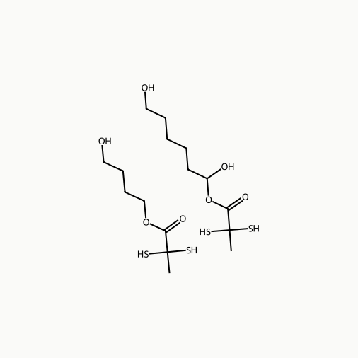 CC(S)(S)C(=O)OC(O)CCCCCO.CC(S)(S)C(=O)OCCCCO